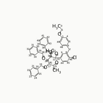 CCOc1ccc(Cc2cc(C3(OC)OC(C)[C@@H](OCc4ccccc4)[C@H](OCc4ccccc4)[C@H]3OCc3ccccc3)ccc2Cl)cc1